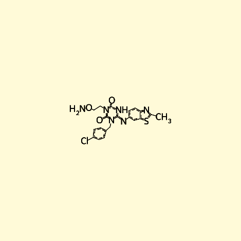 Cc1nc2ccc(/N=c3\[nH]c(=O)n(CCON)c(=O)n3Cc3ccc(Cl)cc3)cc2s1